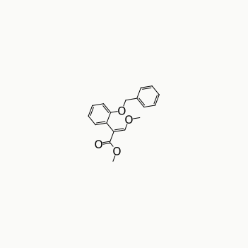 CO/C=C(/C(=O)OC)c1ccccc1OCc1ccccc1